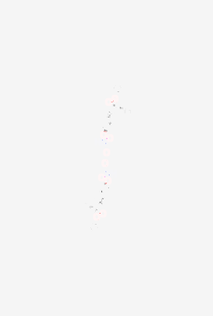 CC(C)[C@H]1CC[C@@]2(C(=O)OCc3ccccc3)CC[C@@]3(C)C(CCC4[C@]5(C)CC[C@@H](OC(=O)NCCOCCOCCNC(=O)O[C@@H]6CC[C@@]7(C)C(CC[C@]8(C)C7CCC7C9[C@H](C(C)C)CC[C@]9(C(=O)OCc9ccccc9)CC[C@]78C)C6(C)C)C(C)(C)C5CC[C@@]43C)C12